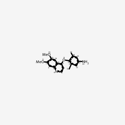 COc1cc2nccc(Oc3c(C)cc(N)cc3C)c2cc1OC